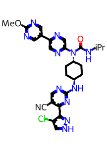 COc1ncc(-c2cnc(N(C(=O)NC(C)C)[C@H]3CC[C@H](Nc4ncc(C#N)c(-c5n[nH]cc5Cl)n4)CC3)cn2)cn1